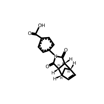 O=C(O)c1ccc(N2C(=O)[C@@H]3[C@H](C2=O)[C@@H]2C=C[C@H]3C2)cc1